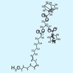 CCCCC/C=C\C/C=C\CCCCCCCC(=O)OCC(COC(=O)CC12CC3CC(CC(C3)C1)C2)COC(=O)C12CCN(CC1)CC2